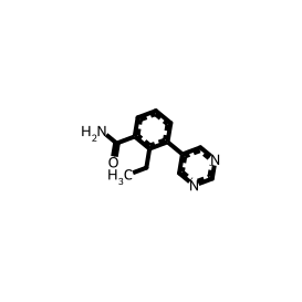 CCc1c(C(N)=O)cccc1-c1cncnc1